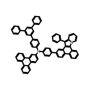 c1ccc(-c2cc(-c3ccccc3)cc(-c3ccc(N(c4ccc(-c5ccc6c7ccccc7c7c(c(-c8ccccc8)c8ccccn87)c6c5)cc4)c4ccc5c6ccccc6c6ccccc6c5c4)cc3)c2)cc1